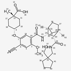 COc1cc(C#N)c(O[C@H]2CC[C@@](C)(C(=O)O)CC2)cc1C(=O)N[C@@H]1[C@H]2CC[C@H](C2)[C@@H]1C(=O)NCC1(CO)CCCC1